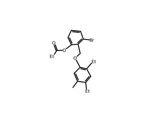 CCC(=O)Oc1cccc(Br)c1COc1cc(C)c(CC)cc1CC